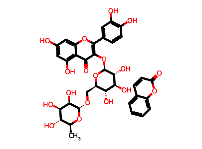 C[C@@H]1O[C@@H](OC[C@H]2O[C@@H](Oc3c(-c4ccc(O)c(O)c4)oc4cc(O)cc(O)c4c3=O)[C@H](O)[C@@H](O)[C@@H]2O)[C@H](O)[C@H](O)[C@H]1O.O=c1ccc2ccccc2o1